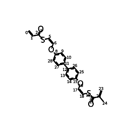 C=CC(=O)S/C=C\Oc1ccc(-c2ccc(O/C=C\SC(=O)C(=C)C)cc2)cc1